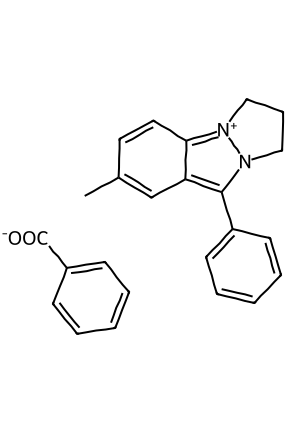 Cc1ccc2c(c1)c(-c1ccccc1)n1[n+]2CCC1.O=C([O-])c1ccccc1